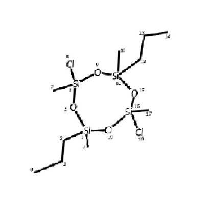 CCC[Si]1(C)O[Si](C)(Cl)O[Si](C)(CCC)O[Si](C)(Cl)O1